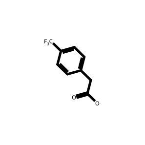 [O]C(=O)Cc1ccc(C(F)(F)F)cc1